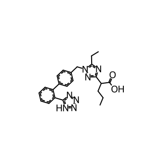 CCCC(C(=O)O)c1nc(CC)n(Cc2ccc(-c3ccccc3-c3nnn[nH]3)cc2)n1